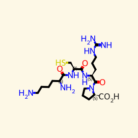 N=C(N)NCCC[C@H](NC(=O)[C@H](CS)NC(=O)[C@@H](N)CCCCN)C(=O)N1CCC[C@H]1C(=O)O